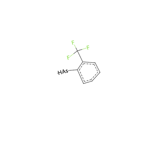 FC(F)(F)c1ccccc1[AsH]